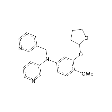 COc1ccc(N(Cc2cccnc2)c2cccnc2)cc1OC1CCCO1